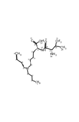 CCCCN(CCCC)CCCC[C@H](NC(=O)[C@@H](N)C(C)C)C(=O)O